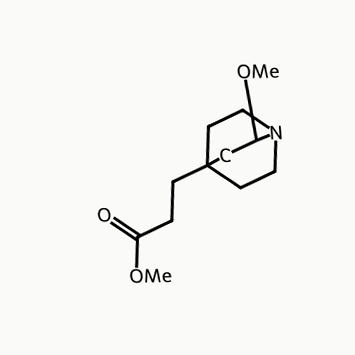 COC(=O)CCC12CCN(CC1)C(OC)C2